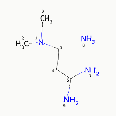 CN(C)CCC(N)N.N